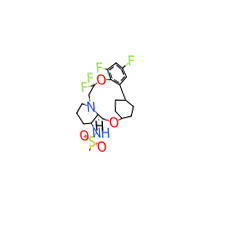 CS(=O)(=O)N[C@H]1CCCN2CC(F)(F)Oc3c(F)cc(F)cc3C3CCC(CC3)OC[C@@H]12